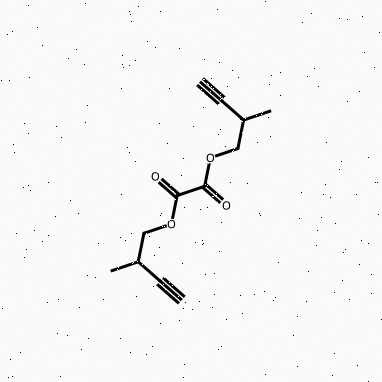 C#CC(C)COC(=O)C(=O)OCC(C)C#C